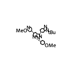 COc1ccc(Cn2nc(-c3ccc4ncn(C(C)(C)C)c4c3)c3cc(-c4ccnc(OC)c4)cnc32)cc1